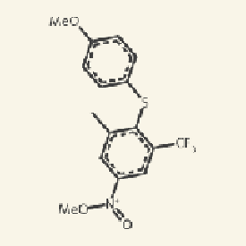 COc1ccc(Sc2c(C)cc([N+](=O)OC)cc2C(F)(F)F)cc1